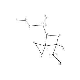 CCC[C@H](C)C1CC(C)(NC)C12CC2